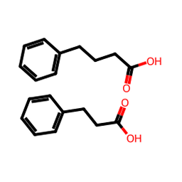 O=C(O)CCCc1ccccc1.O=C(O)CCc1ccccc1